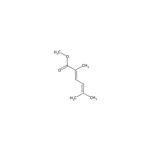 COC(=O)/C(C)=C/C=C(C)C